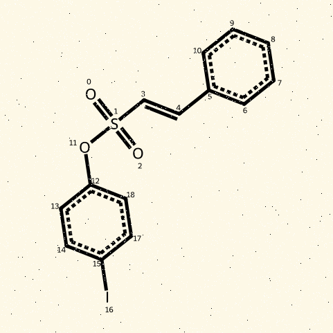 O=S(=O)(/C=C/c1ccccc1)Oc1ccc(I)cc1